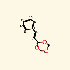 C(=CC1OCOCO1)c1ccccc1